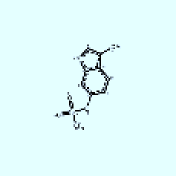 CC(=O)Oc1csc2cc(OS(=O)(=O)C(F)(F)F)ccc12